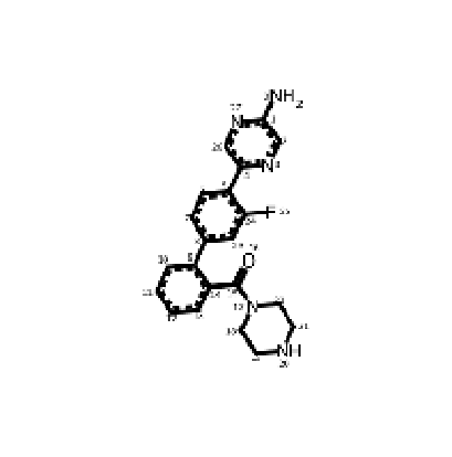 Nc1cnc(-c2ccc(-c3ccccc3C(=O)N3CCNCC3)cc2F)cn1